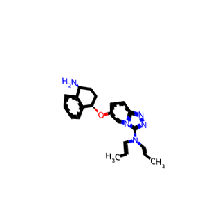 C/C=C/N(/C=C/C)c1nnc2ccc(O[C@@H]3CC[C@H](N)c4ccccc43)cn12